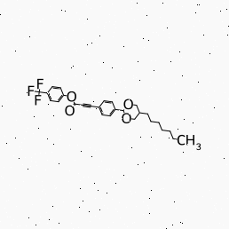 CCCCCCCC1COC(c2ccc(C#CC(=O)Oc3ccc(C(F)(F)F)cc3)cc2)OC1